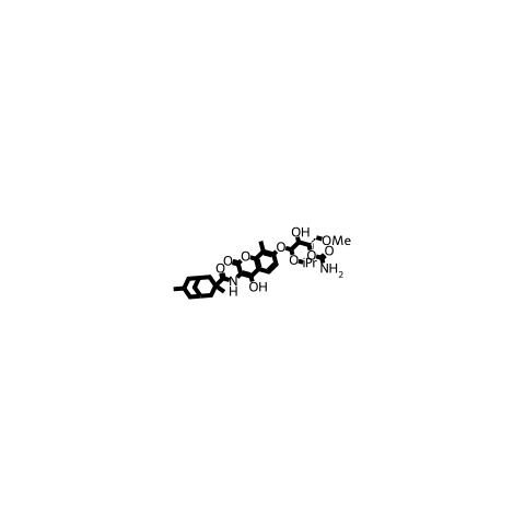 COC[C@H](OC(N)=O)C(O)C(Oc1ccc2c(O)c(NC(=O)C3(C)CC4CC(C)CC(C4)C3)c(=O)oc2c1C)OC(C)C